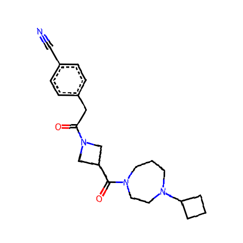 N#Cc1ccc(CC(=O)N2CC(C(=O)N3CCCN(C4CCC4)CC3)C2)cc1